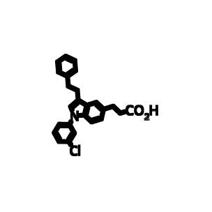 O=C(O)CCc1ccc2c(c1)c(CCc1ccccc1)cn2-c1cccc(Cl)c1